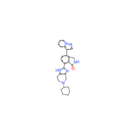 O=C1NCc2c(-c3cnn4ccccc34)ccc(-c3nc4c([nH]3)CCN(C3CCCCC3)C4)c21